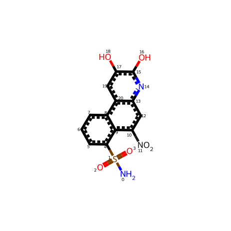 NS(=O)(=O)c1cccc2c1c([N+](=O)[O-])cc1nc(O)c(O)cc12